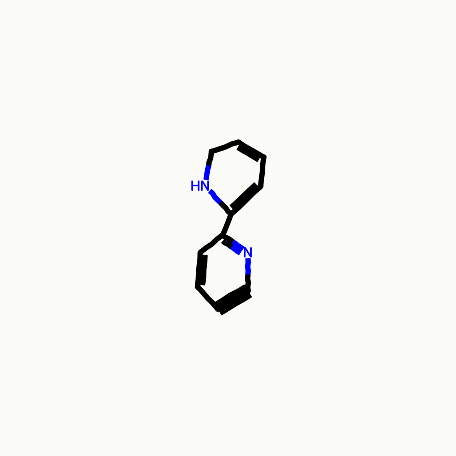 c1ccc(C2=CC=CCN2)nc#1